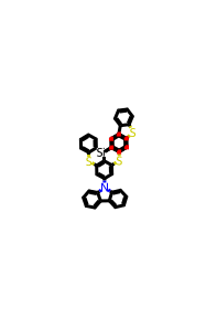 c1ccc2c(c1)Sc1cc(-n3c4ccccc4c4ccccc43)cc3c1[Si]2(c1ccc2sc4ccccc4c2c1)c1ccccc1S3